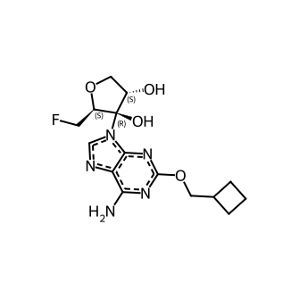 Nc1nc(OCC2CCC2)nc2c1ncn2[C@@]1(O)[C@@H](O)CO[C@@H]1CF